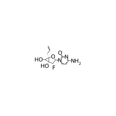 C=CC[C@]12O[C@@H](n3ccc(N)nc3=O)[C@H](F)[C@@]1(O)C2O